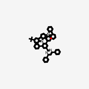 CC(C)(C)c1ccc2c(c1)c1ccc(-n3c4ccccc4c4ccccc43)cc1n2-c1c(-c2ccccc2)cc(-c2nc(-c3ccccc3)cc(-c3ccccc3)n2)cc1-c1ccccc1